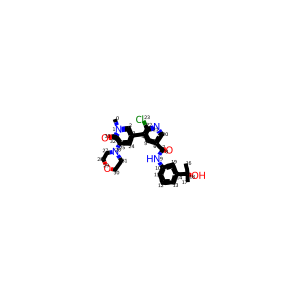 Cn1cc(-c2cc(C(=O)Nc3cccc(C(C)(C)O)c3)cnc2Cl)cc(N2CCOCC2)c1=O